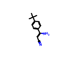 CC(C)(C)c1ccc(C(N)=CC#N)cc1